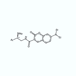 CCN(CC)c1ccc2cc(C(=O)NC[C@H](NC)C(C)=O)c(=O)oc2c1